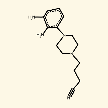 N#CCCCN1CCN(c2cccc(N)c2N)CC1